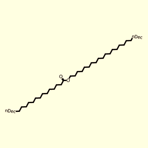 CCCCCCCCCCCCCCCCCCCCCCCCCCCCOC(=O)CCCCCCCCCCCCCCCCCCCCCCC